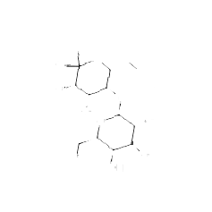 [2H]C1(O)O[C@H](CO)[C@@H](O[C@@H]2O[C@H](CO)[C@H](O)[C@H](O)[C@H]2O)[C@H](O)[C@H]1O.[C]